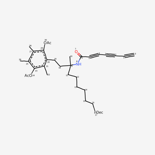 C#CC#CC#CC(=O)NC(C)(CCCCCCCCCCCCCCCC)CCc1c(C)c(OC(C)=O)c(C)c(C)c1OC(C)=O